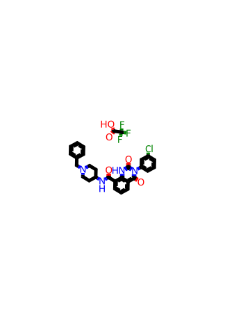 O=C(NC1CCN(Cc2ccccc2)CC1)c1cccc2c(=O)n(-c3cccc(Cl)c3)c(=O)[nH]c12.O=C(O)C(F)(F)F